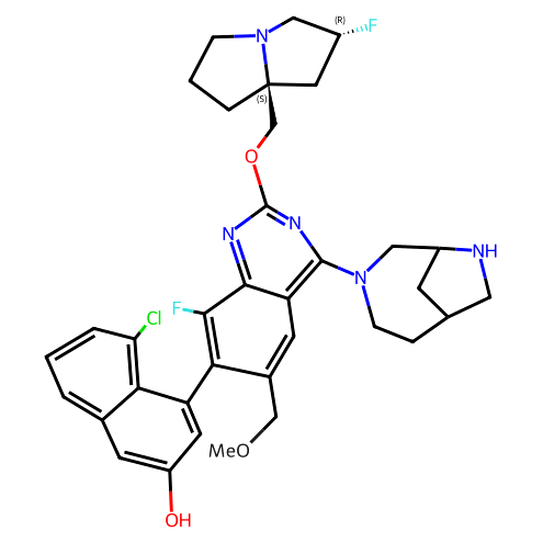 COCc1cc2c(N3CCC4CNC(C4)C3)nc(OC[C@@]34CCCN3C[C@H](F)C4)nc2c(F)c1-c1cc(O)cc2cccc(Cl)c12